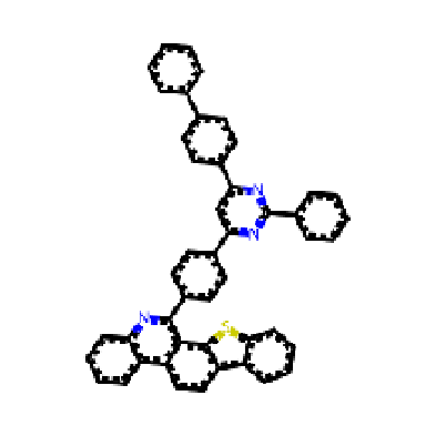 c1ccc(-c2ccc(-c3cc(-c4ccc(-c5nc6ccccc6c6ccc7c8ccccc8sc7c56)cc4)nc(-c4ccccc4)n3)cc2)cc1